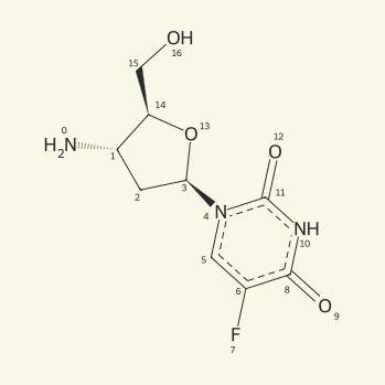 N[C@H]1C[C@H](n2cc(F)c(=O)[nH]c2=O)O[C@@H]1CO